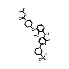 COc1c(OC2CCN(C(=O)OC(C)C)CC2)ccnc1Nc1ccc(N2CCCC(S(C)(=O)=O)C2)nc1C